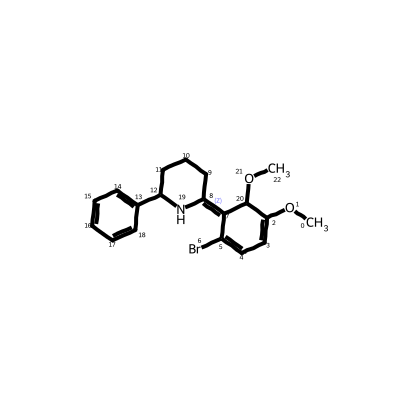 COC1=C[C]=C(Br)/C(=C2/CCCC(c3ccccc3)N2)C1OC